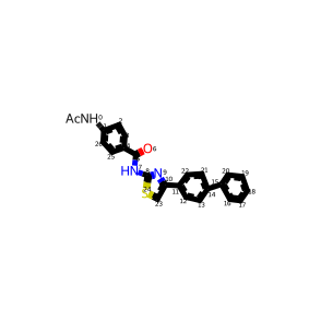 CC(=O)Nc1ccc(C(=O)Nc2nc(-c3ccc(-c4ccccc4)cc3)cs2)cc1